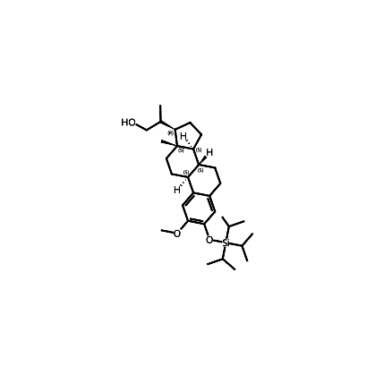 COc1cc2c(cc1O[Si](C(C)C)(C(C)C)C(C)C)CC[C@@H]1[C@@H]2CC[C@]2(C)[C@@H](C(C)CO)CC[C@@H]12